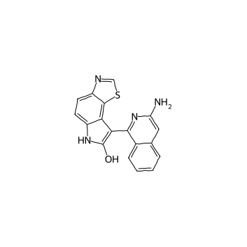 Nc1cc2ccccc2c(-c2c(O)[nH]c3ccc4ncsc4c23)n1